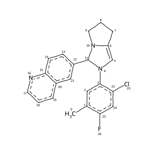 Cc1cc(N2C=C3CCCN3C2c2ccc3ncccc3c2)c(Cl)cc1F